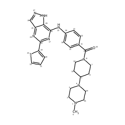 CN1CCN(C2CCN(C(=O)c3ccc(Nc4nc(-c5cccs5)nc5cn[nH]c45)cc3)CC2)CC1